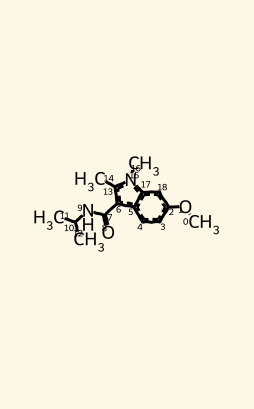 COc1ccc2c(C(=O)NC(C)C)c(C)n(C)c2c1